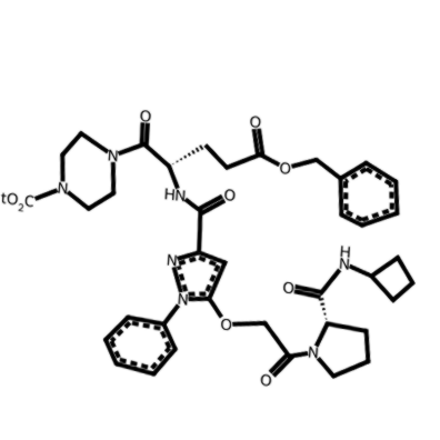 CCOC(=O)N1CCN(C(=O)[C@H](CCC(=O)OCc2ccccc2)NC(=O)c2cc(OCC(=O)N3CCC[C@H]3C(=O)NC3CCC3)n(-c3ccccc3)n2)CC1